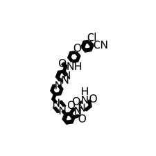 N#Cc1ccc(OC2CCC(NC(=O)c3ccc(N4CCC(CN5CCN(c6cccc7c6C(=O)N(N6CCC(=O)NC6=O)C7=O)CC5)CC4)nn3)CC2)cc1Cl